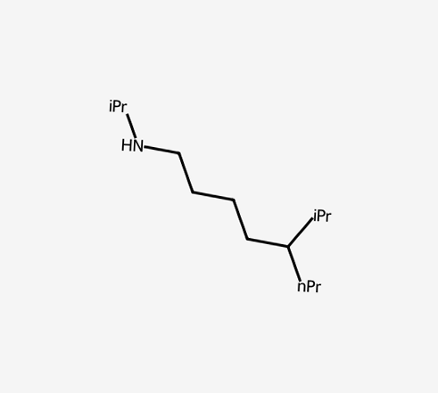 CCCC(CCCCNC(C)C)C(C)C